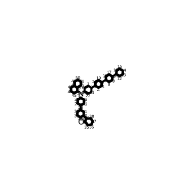 C1=CC(c2ccc(-c3ccc(-c4ccccc4)cc3)cc2)CC=C1N(c1ccc(-c2ccc3oc4ccccc4c3c2)cc1)c1cccc2ccccc12